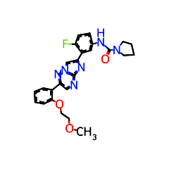 COCCOc1ccccc1-c1cnc2nc(-c3cc(NC(=O)N4CCCC4)ccc3F)cn2n1